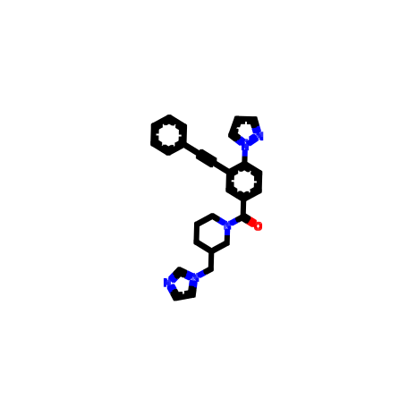 O=C(c1ccc(-n2cccn2)c(C#Cc2ccccc2)c1)N1CCCC(Cn2ccnc2)C1